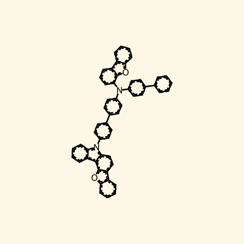 c1ccc(-c2ccc(N(c3ccc(-c4ccc(-n5c6ccccc6c6c7oc8ccccc8c7ccc65)cc4)cc3)c3cccc4c3oc3ccccc34)cc2)cc1